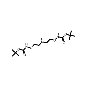 CC(C)(C)OC(=O)NOCCNCCONC(=O)OC(C)(C)C